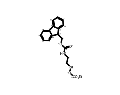 CCOC(=O)ONCCNC(=O)OCC1c2ccccc2-c2ccccc21